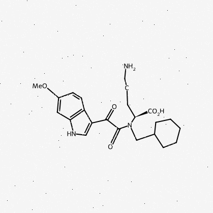 COc1ccc2c(C(=O)C(=O)N(CC3CCCCC3)[C@@H](CCCN)C(=O)O)c[nH]c2c1